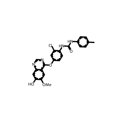 COc1cc2c(Oc3ccc(NC(=O)Nc4ccc(C)cc4)c(Cl)c3)ncnc2cc1O